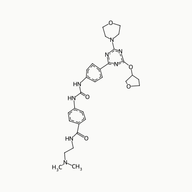 CN(C)CCNC(=O)c1ccc(NC(=O)Nc2ccc(-c3nc(OC4CCOC4)nc(N4CCOCC4)n3)cc2)cc1